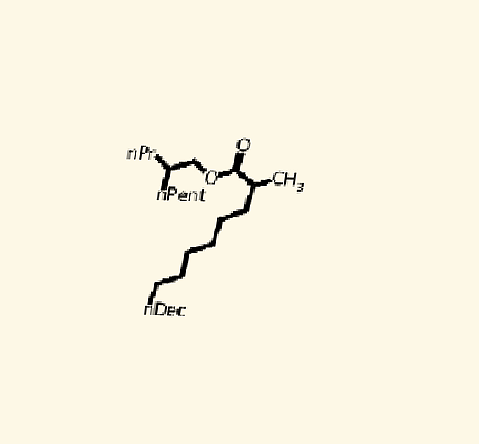 CCCCCCCCCCCCCCCCC(C)C(=O)OCC(CCC)CCCCC